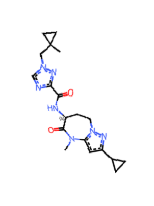 CN1C(=O)[C@@H](NC(=O)c2ncn(CC3(C)CC3)n2)CCn2nc(C3CC3)cc21